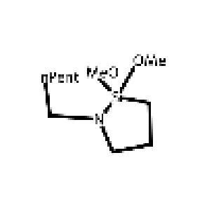 CCCCCCN1CCC[Si]1(OC)OC